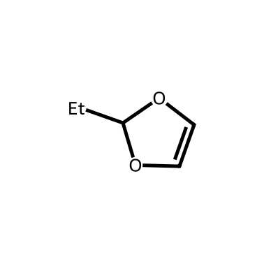 [CH2]CC1OC=CO1